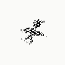 COCCN(Cc1ccc(C(=O)O)cc1)c1nc(N2CCN(C)C(=O)C2)c2nc(N(CCOC)CCOC)nc(N3CCC(OC)CC3)c2n1